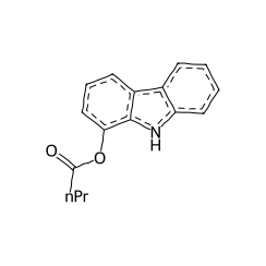 CCCC(=O)Oc1cccc2c1[nH]c1ccccc12